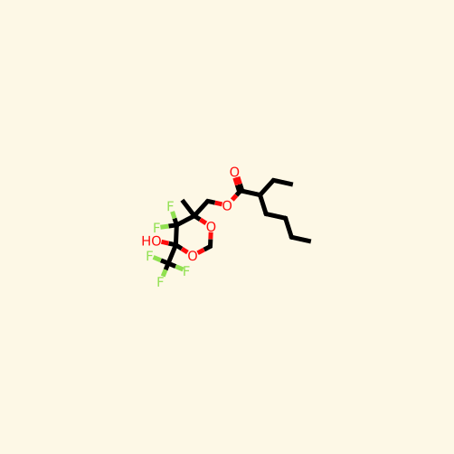 CCCCC(CC)C(=O)OCC1(C)OCOC(O)(C(F)(F)F)C1(F)F